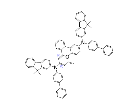 C=C/C=C(\C=C1/Oc2ccc(N(c3ccc(-c4ccccc4)cc3)c3ccc4c(c3)C(C)(C)c3ccccc3-4)cc2-c2ccccc21)N(c1ccc(-c2ccccc2)cc1)c1ccc2c(c1)C(C)(C)c1ccccc1-2